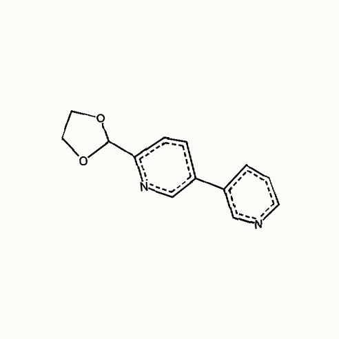 c1cncc(-c2ccc(C3OCCO3)nc2)c1